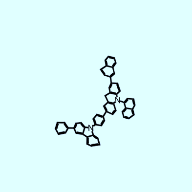 c1ccc(-c2ccc3c(c2)c2ccccc2n3-c2ccc(-c3ccc4c(c3)Cc3cc(-c5ccc6ccccc6c5)ccc3N4c3cccc4ccccc34)cc2)cc1